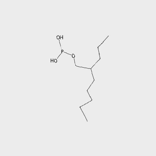 CCCCCC(CCC)COP(O)O